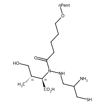 CCCCCOCCCCC(=O)N(NCC(N)CS)[C@@H](C(=O)O)[C@H](C)CO